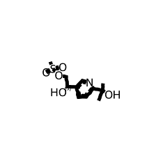 CC(C)(O)c1ccc([C@H](O)COS(C)(=O)=O)cn1